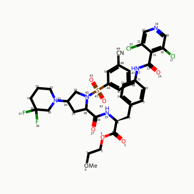 COCCOC(=O)[C@H](Cc1ccc(NC(=O)c2c(Cl)cncc2Cl)cc1)NC(=O)C1CC(N2CCCC(F)(F)C2)CN1S(=O)(=O)c1cccc(C#N)c1